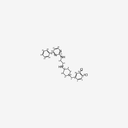 Clc1ccc(CN2CCC(NCCNc3nccc(-c4ccccc4)n3)CC2)cc1Cl